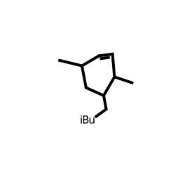 CCC(C)CC1CC(C)C=CC1C